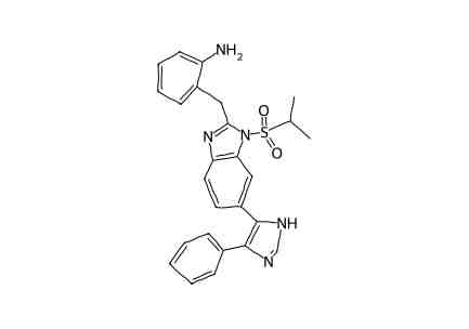 CC(C)S(=O)(=O)n1c(Cc2ccccc2N)nc2ccc(-c3[nH]cnc3-c3ccccc3)cc21